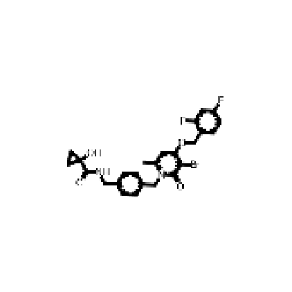 Cc1cc(OCc2ccc(F)cc2F)c(Br)c(=O)n1Cc1ccc(CNC(=O)C2(O)CC2)cc1